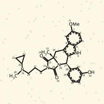 COc1ccc2[nH]c3c(c2c1)C[C@@]1(C)C(=O)N(CCCN(C)C2CC2)C(=O)N1[C@@H]3c1cccc(O)c1